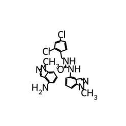 Cn1ncc2c(N)cccc21.Cn1ncc2c(NC(=O)NCc3ccc(Cl)cc3Cl)cccc21